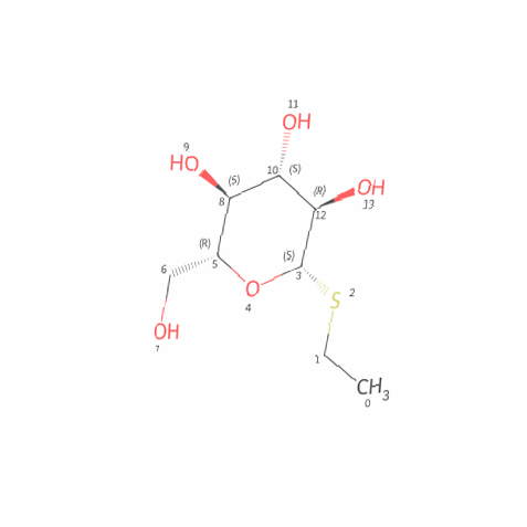 CCS[C@@H]1O[C@H](CO)[C@@H](O)[C@H](O)[C@H]1O